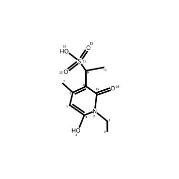 CCn1c(O)cc(C)c(C(C)S(=O)(=O)O)c1=O